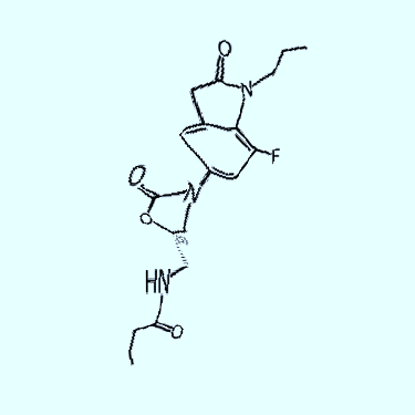 CCCN1C(=O)Cc2cc(N3C[C@H](CNC(=O)CC)OC3=O)cc(F)c21